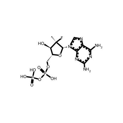 C[C@@]1(F)[C@H](O)[C@@H](COP(=O)(O)OP(=O)(O)O)O[C@H]1n1cnc2c(N)nc(N)nc21